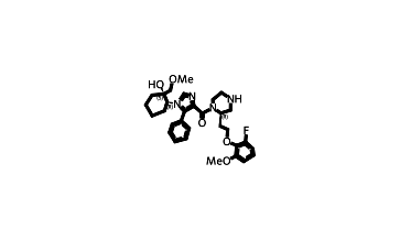 COC[C@]1(O)CCCC[C@H]1n1cnc(C(=O)N2CCNC[C@H]2CCOc2c(F)cccc2OC)c1-c1ccccc1